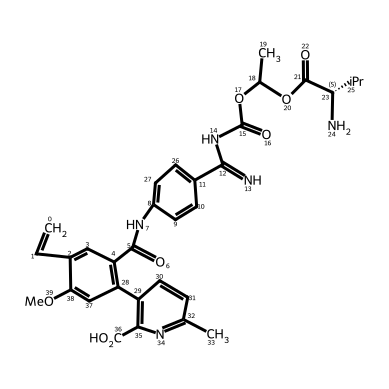 C=Cc1cc(C(=O)Nc2ccc(C(=N)NC(=O)OC(C)OC(=O)[C@@H](N)C(C)C)cc2)c(-c2ccc(C)nc2C(=O)O)cc1OC